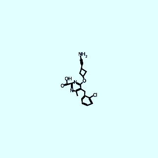 Cc1nc(C(=O)O)nc(OC2CC(C#CN)C2)c1Cc1ccccc1Cl